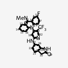 CNC(=O)c1cc(F)ccc1N(c1ccccc1)c1cc(Nc2ccc3c(c2)NC(=O)C3)ncc1C(F)(F)F